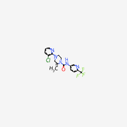 C[C@@H]1CN(c2ncccc2Cl)CCN1C(=O)Nc1ccc(C(F)(F)F)nc1